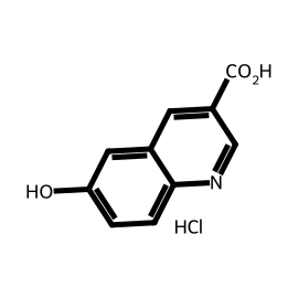 Cl.O=C(O)c1cnc2ccc(O)cc2c1